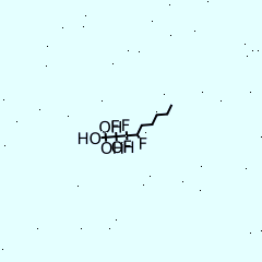 CCCCCC(F)C(F)(F)C(O)(F)C(O)(O)O